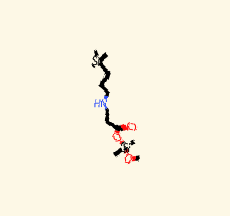 CO[Si](C)(C)OC(=O)CCNCCC[Si](C)(C)C